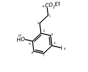 CCOC(=O)CCc1cc(I)ccc1O